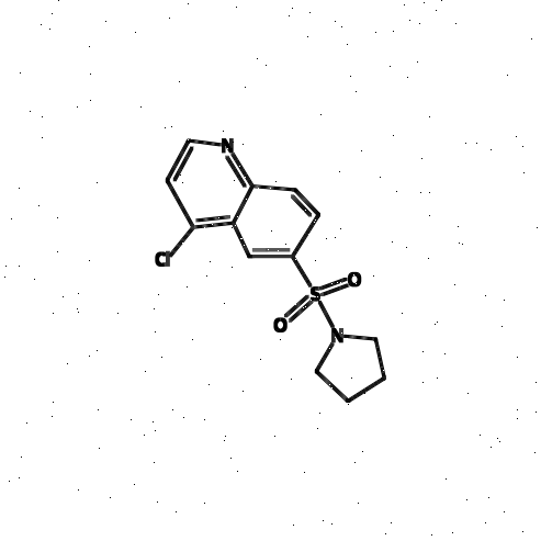 O=S(=O)(c1ccc2nccc(Cl)c2c1)N1CCCC1